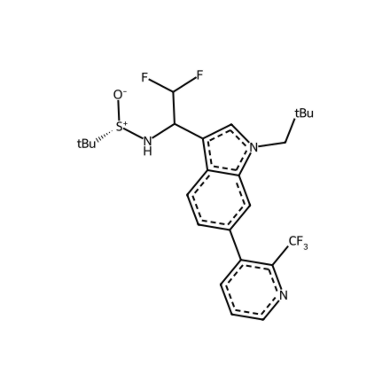 CC(C)(C)Cn1cc(C(N[S@@+]([O-])C(C)(C)C)C(F)F)c2ccc(-c3cccnc3C(F)(F)F)cc21